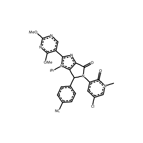 COc1ncc(-c2nc3c(n2C(C)C)C(c2ccc(C#N)cc2)N(c2cc(Cl)cn(C)c2=O)C3=O)c(OC)n1